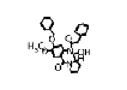 COc1cc2c(cc1OCc1ccccc1)N(C(=O)Cc1ccccc1)C(O)[C@@H]1CCCN1C2=O